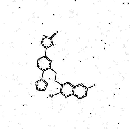 Nc1nc2ccc(F)cc2cc1OCc1cc(-c2noc(=O)[nH]2)ccc1-n1cccn1